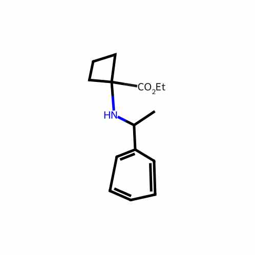 CCOC(=O)C1(NC(C)c2ccccc2)CCC1